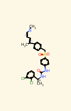 C=N/C=C\C=C(/C)c1ccc(CS(=O)(=O)c2ccc(NC(=O)N[C@@H](C)c3cccc(Cl)c3Cl)cc2)cc1